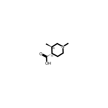 C[C@H]1CN(C)CC[C@@H]1C(=O)O